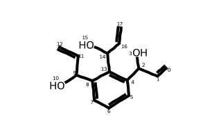 C=CC(O)c1cccc(C(O)C=C)c1C(O)C=C